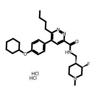 CCCCc1nnc(C(=O)NC[C@@H]2CCN(C)C[C@@H]2F)cc1-c1ccc(OC2CCCCC2)cc1.Cl.Cl